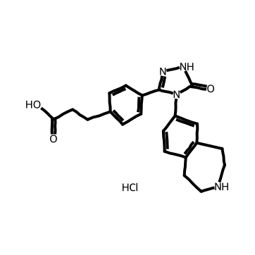 Cl.O=C(O)CCc1ccc(-c2n[nH]c(=O)n2-c2ccc3c(c2)CCNCC3)cc1